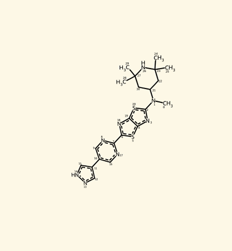 CN(c1nc2sc(-c3ncc(-c4cn[nH]c4)cn3)nc2s1)C1CC(C)(C)NC(C)(C)C1